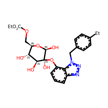 CCOC(=O)OC[C@H]1O[C@@H](O)[C@@](O)(Oc2cccc3nnn(Cc4ccc(CC)cc4)c23)[C@@H](O)[C@@H]1O